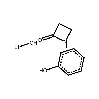 CCO.O=C1CCN1.Oc1ccccc1